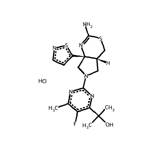 Cc1nc(N2C[C@H]3CSC(N)=N[C@@]3(c3ccns3)C2)nc(C(C)(C)O)c1F.Cl